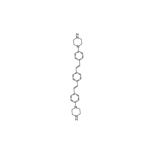 C(=C\c1ccc(N2CCNCC2)cc1)/c1ccc(/C=C/c2ccc(N3CCNCC3)cc2)cc1